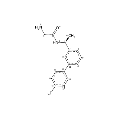 C[C@H](NC(=O)CN)c1cccc(-c2ccc(F)nc2)c1